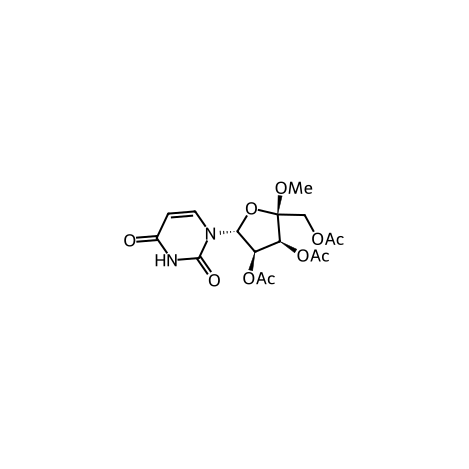 CO[C@]1(COC(C)=O)O[C@@H](n2ccc(=O)[nH]c2=O)[C@H](OC(C)=O)[C@@H]1OC(C)=O